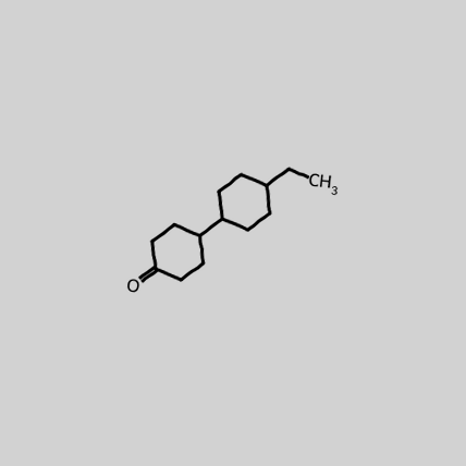 CCC1CCC(C2CCC(=O)CC2)CC1